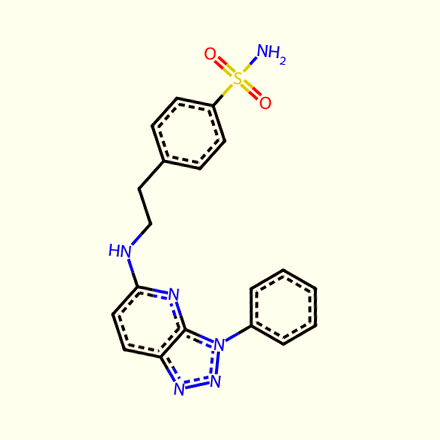 NS(=O)(=O)c1ccc(CCNc2ccc3nnn(-c4ccccc4)c3n2)cc1